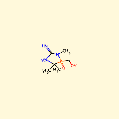 CN1C(=N)NC(C)(C)P1(=O)CO